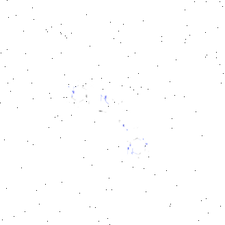 C1=C2CC(N3Cc4nccnc4C3)CCC2=NC1c1ccncc1